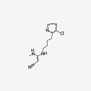 CNC(=CC#N)NCCCCc1ncccc1Cl